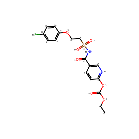 CCOC(=O)Oc1ccc(C(=O)NS(=O)(=O)CCOc2ccc(F)cc2)cn1